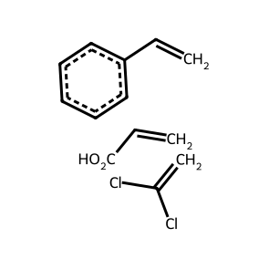 C=C(Cl)Cl.C=CC(=O)O.C=Cc1ccccc1